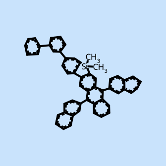 C[Si]1(C)c2cc(-c3cccc(-c4ccccc4)c3)ccc2-c2cc3c(-c4ccc5ccccc5c4)c4ccccc4c(-c4ccc5ccccc5c4)c3cc21